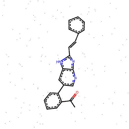 CC(=O)c1ccccc1-c1cnc2nc(C=Cc3ccccc3)[nH]c2c1